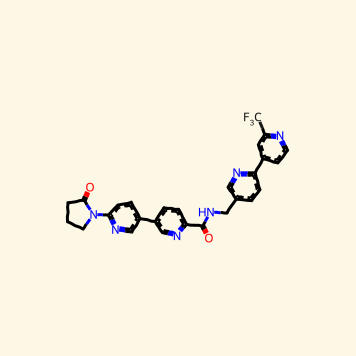 O=C(NCc1ccc(-c2ccnc(C(F)(F)F)c2)nc1)c1ccc(-c2ccc(N3CCCC3=O)nc2)cn1